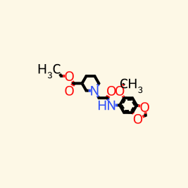 CCOC(=O)C1CCCN(CC(=O)Nc2cc3c(cc2OC)OCO3)C1